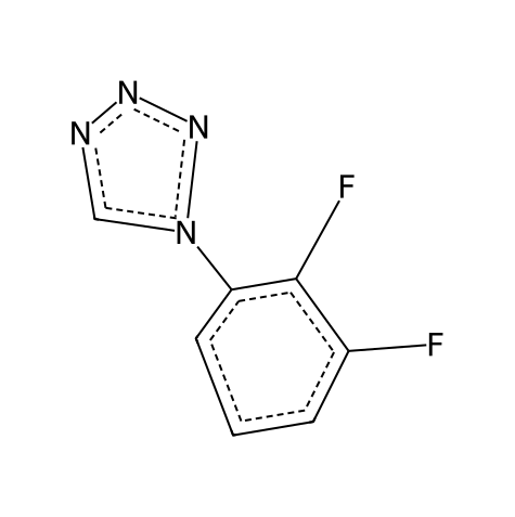 Fc1cccc(-n2cnnn2)c1F